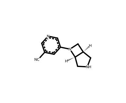 N#Cc1cncc(N2C[C@H]3CNC[C@H]32)c1